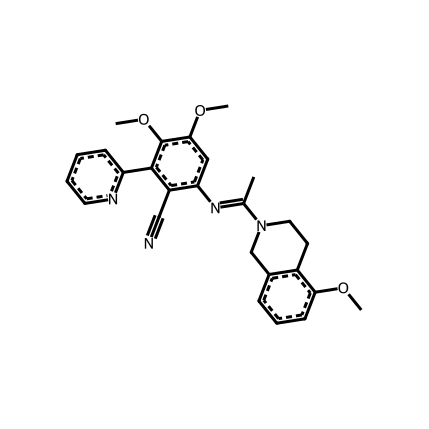 COc1cccc2c1CCN(C(C)=Nc1cc(OC)c(OC)c(-c3ccccn3)c1C#N)C2